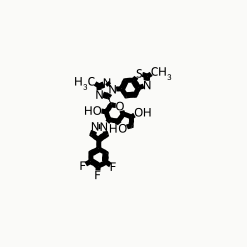 Cc1nc([C@@H]2OC3C(O)CO[C@@H]3C(n3cc(-c4cc(F)c(F)c(F)c4)cn3)C2O)n(-c2ccc3nc(C)sc3c2)n1